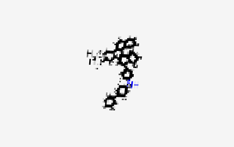 CCCCc1ccc2ccccc2c1-c1c(CCCC)cc(-c2ccc(Nc3ccc(-c4ccccc4)cc3)cc2)c2ccccc12